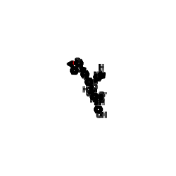 CC1OCCN(C2CC3(CCN(c4ccc(C(=O)NS(=O)(=O)c5cnc(NC[C@H]6CC[C@](C)(O)CC6)c([N+](=O)[O-])c5)c(Oc5cnc6[nH]ccc6c5)c4)CC3)C2)[C@H]1c1ccccc1C1CC1